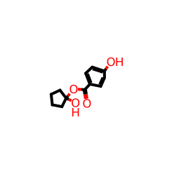 O=C(OC1(O)CCCC1)c1ccc(O)cc1